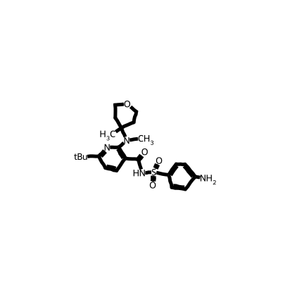 CN(c1nc(C(C)(C)C)ccc1C(=O)NS(=O)(=O)c1ccc(N)cc1)C1(C)CCOCC1